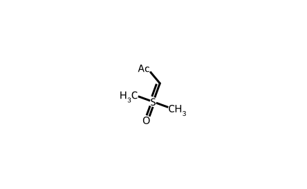 CC(=O)C=S(C)(C)=O